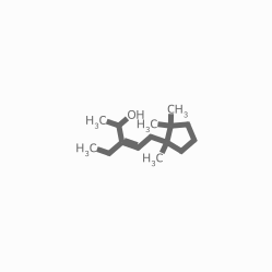 CCC(=CCC1(C)CCCC1(C)C)C(C)O